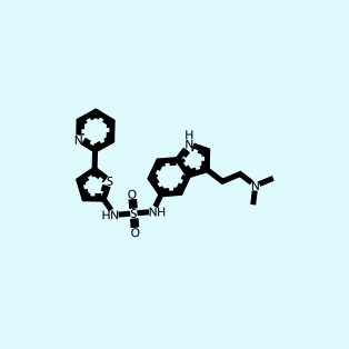 CN(C)CCc1c[nH]c2ccc(NS(=O)(=O)Nc3ccc(-c4ccccn4)s3)cc12